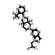 FC(F)Cn1ncc2ncc(N3CC[C@@H]4CN(c5cccnc5C(F)(F)F)C[C@@H]4C3)nc21